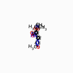 CC(=O)N1CCN(c2cccc(Nc3ccc(C(=O)OC(C)N(C)C)cc3[N+](=O)[O-])c2)CC1